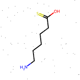 NCCCCCC(O)=S